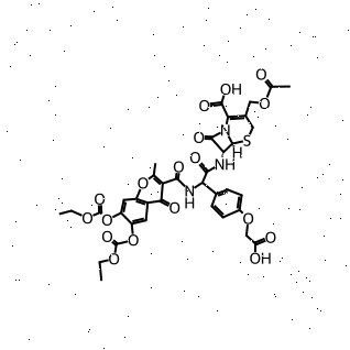 CCOC(=O)Oc1cc2oc(C)c(C(=O)NC(C(=O)N[C@@H]3C(=O)N4C(C(=O)O)=C(COC(C)=O)CS[C@@H]34)c3ccc(OCC(=O)O)cc3)c(=O)c2cc1OC(=O)OCC